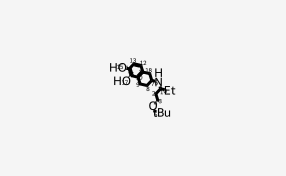 CCC(CCOC(C)(C)C)NC1CCc2c(ccc(O)c2O)C1